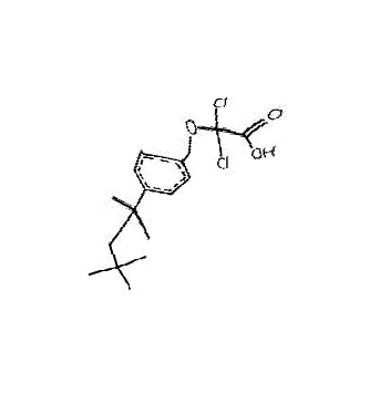 CC(C)(C)CC(C)(C)c1ccc(OC(Cl)(Cl)C(=O)O)cc1